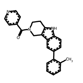 Cc1ccccc1-c1ccc2[nH]c3c(c2c1)CN(C(=O)c1ccncc1)CC3